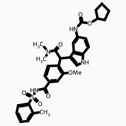 COc1cc(C(=O)NS(=O)(=O)c2ccccc2C)ccc1C(C(=O)N(C)C)c1c[nH]c2ccc(NC(=O)OC3CCCC3)cc12